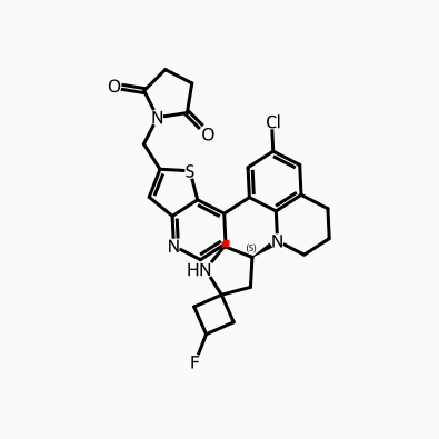 O=C1CCC(=O)N1Cc1cc2nccc(-c3cc(Cl)cc4c3N([C@@H]3CNC5(CC(F)C5)C3)CCC4)c2s1